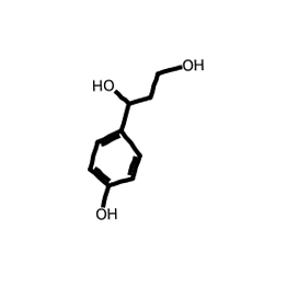 OCCC(O)c1ccc(O)cc1